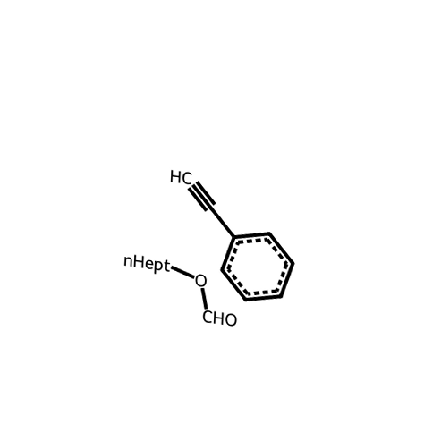 C#Cc1ccccc1.CCCCCCCOC=O